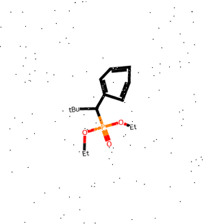 CCOP(=O)(OCC)[C](c1ccccc1)C(C)(C)C